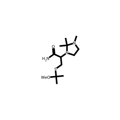 COC(C)(C)SCC(C(N)=O)N1CCN(C)C1(C)C